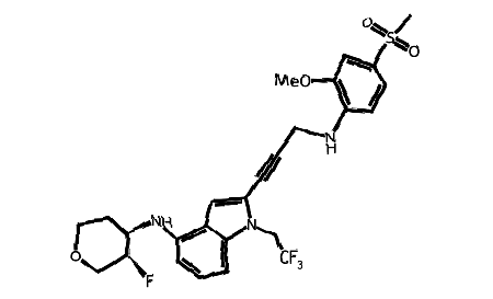 COc1cc(S(C)(=O)=O)ccc1NCC#Cc1cc2c(N[C@@H]3CCOC[C@@H]3F)cccc2n1CC(F)(F)F